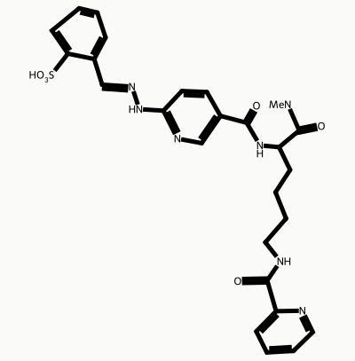 CNC(=O)C(CCCCNC(=O)c1ccccn1)NC(=O)c1ccc(NN=Cc2ccccc2S(=O)(=O)O)nc1